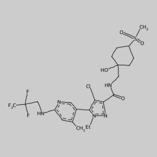 CCn1nc(C(=O)NCC2(O)CCC(S(C)(=O)=O)CC2)c(Cl)c1-c1cnc(NCC(F)(F)C(F)(F)F)cc1C